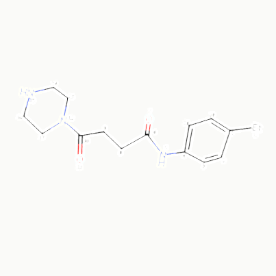 CCc1ccc(NC(=O)CCC(=O)N2CCNCC2)cc1